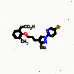 Cc1cccc(CC(=O)O)c1OCCCc1cn(-c2ccc(Br)cn2)nc1C(C)(C)C